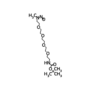 CN(CCOCCOCCOCCOCCNC(=O)OC(C)(C)C)N=O